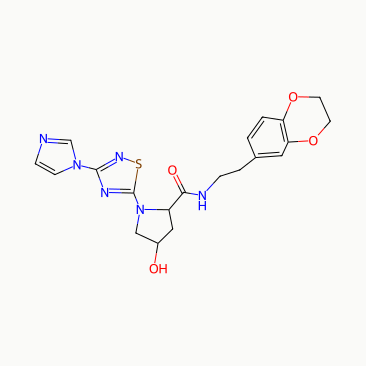 O=C(NCCc1ccc2c(c1)OCCO2)C1CC(O)CN1c1nc(-n2ccnc2)ns1